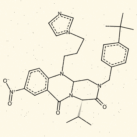 CC(C)[C@H]1C(=O)N(Cc2ccc(C(C)(C)C)cc2)CC2N(CCCn3ccnc3)c3ccc([N+](=O)[O-])cc3C(=O)N21